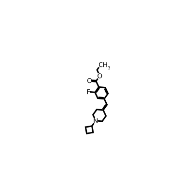 CCOC(=O)c1ccc(C=C2CCN(C3CCC3)CC2)cc1F